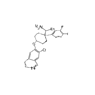 CCC(N)C1(c2ccc(F)c(F)c2)CCC(Oc2cc3ccncc3cc2Cl)CC1